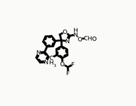 Cc1cc(C2(c3cccc(-c4cnccn4)c3)COC(NOC=O)=N2)ccc1OC(F)F